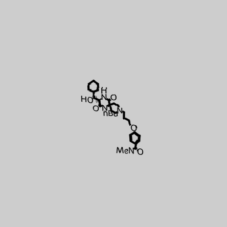 CCCCN1C(=O)[C@@H]([C@H](O)C2CCCCC2)NC(=O)C12CCN(CCCCOc1ccc(C(=O)NC)cc1)CC2